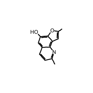 Cc1ccc2cc(O)c3oc(C)cc3c2n1